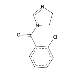 O=C(c1ccccc1Cl)N1C=NCC1